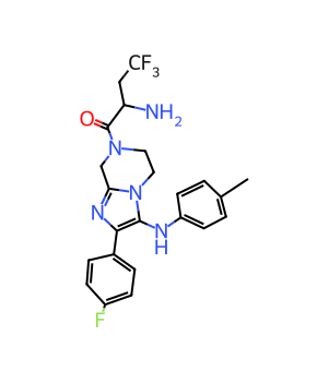 Cc1ccc(Nc2c(-c3ccc(F)cc3)nc3n2CCN(C(=O)C(N)CC(F)(F)F)C3)cc1